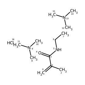 C=C(C)C(=O)NCC.CN(C)C.CN(C)C.Cl